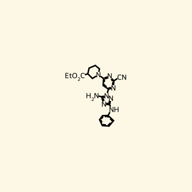 CCOC(=O)C1CCCN(c2cc(-n3nc(Nc4ccccc4)nc3N)nc(C#N)n2)C1